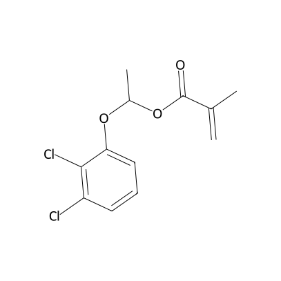 C=C(C)C(=O)OC(C)Oc1cccc(Cl)c1Cl